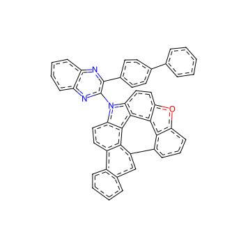 c1ccc(-c2ccc(-c3nc4ccccc4nc3-n3c4ccc5c6ccccc6cc6c5c4c4c5c(ccc43)oc3cccc-6c35)cc2)cc1